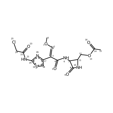 CO/N=C(/C(=O)NC1C(=O)NC1COC(C)=O)c1csc(NC(=O)CCl)n1